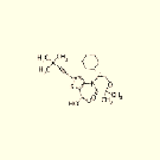 CC(C)(C)C#Cc1cc(N2C(=O)C(C)(C)OC[C@H]2C2CCCCC2)c(C(=O)O)s1